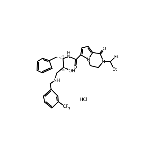 CCC(CC)N1CCn2c(C(=O)N[C@@H](Cc3ccccc3)[C@@H](O)CNCc3cccc(C(F)(F)F)c3)ccc2C1=O.Cl